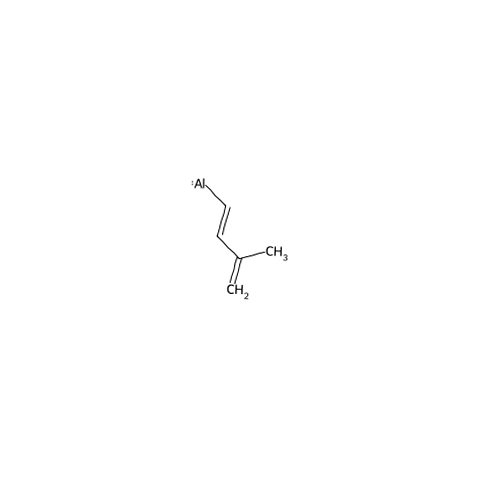 C=C(C)C=[CH][Al]